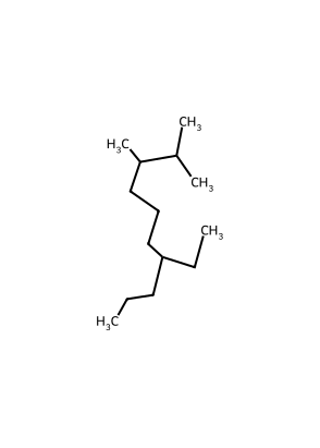 CCCC(CC)CCCC(C)C(C)C